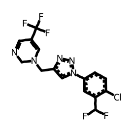 FC(F)c1cc(-n2cc(CN3C=C(C(F)(F)F)C=NC3)nn2)ccc1Cl